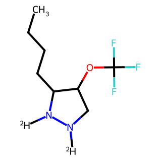 [2H]N1CC(OC(F)(F)F)C(CCCC)N1[2H]